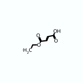 [CH2]COC(=O)C=CC(=O)O